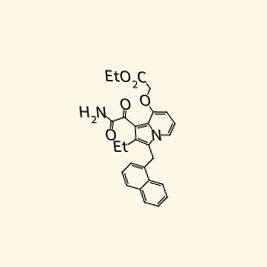 CCOC(=O)COc1cccn2c(Cc3cccc4ccccc34)c(CC)c(C(=O)C(N)=O)c12